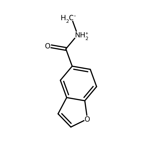 [CH2-][NH2+]C(=O)c1ccc2occc2c1